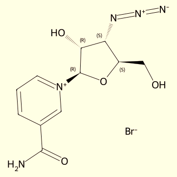 [Br-].[N-]=[N+]=N[C@H]1[C@@H](O)[C@H]([n+]2cccc(C(N)=O)c2)O[C@@H]1CO